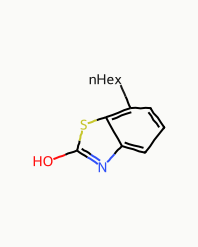 CCCCCCc1cccc2nc(O)sc12